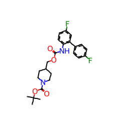 CC(C)(C)OC(=O)N1CCC(COC(=O)Nc2ccc(F)cc2-c2ccc(F)cc2)CC1